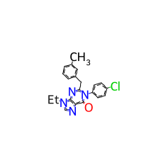 CCn1cnc2c(=O)n(-c3ccc(Cl)cc3)c(Cc3cccc(C)c3)nc21